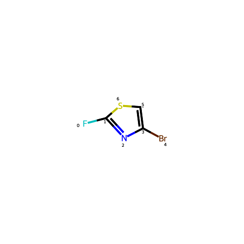 Fc1nc(Br)[c]s1